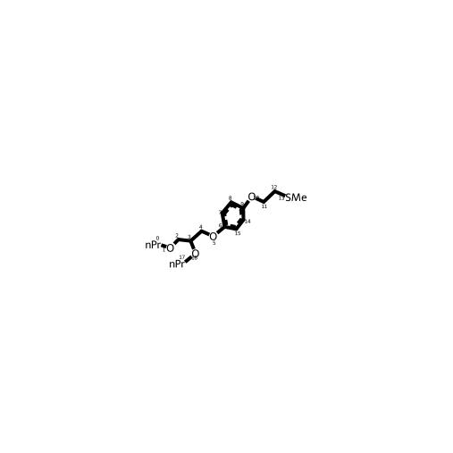 CCCOCC(COc1ccc(OCCSC)cc1)OCCC